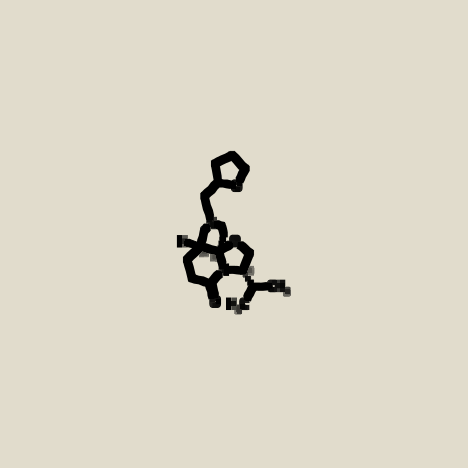 CC(C)[C@H]1CO[C@]23CCN(CC4CCCO4)C[C@H]2CCC(=O)N13